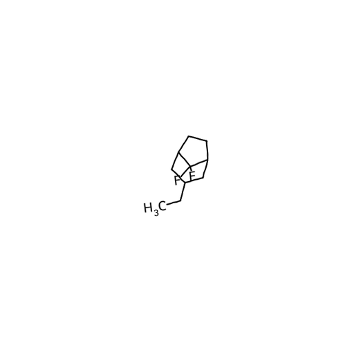 CCC1CC2CCC(C1)C2(F)F